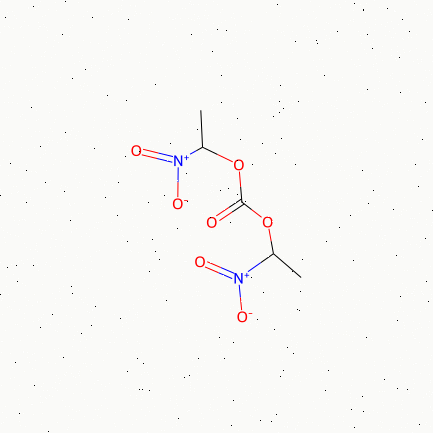 CC(OC(=O)OC(C)[N+](=O)[O-])[N+](=O)[O-]